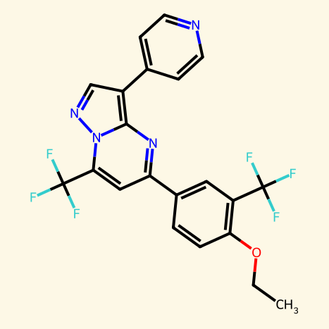 CCOc1ccc(-c2cc(C(F)(F)F)n3ncc(-c4ccncc4)c3n2)cc1C(F)(F)F